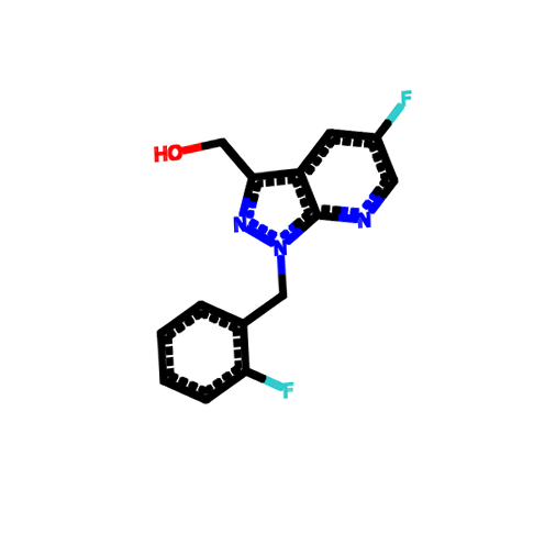 OCc1nn(Cc2ccccc2F)c2ncc(F)cc12